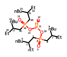 CCCCC(CC)CP(=O)(CC(CC)CCCC)O[PH](=O)OP(=O)(CC(CC)CCCC)CC(CC)CCCC